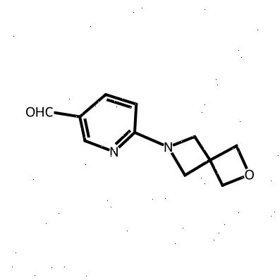 O=Cc1ccc(N2CC3(COC3)C2)nc1